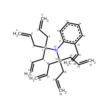 C=CC[Si](CC=C)(CC=C)N(c1ccccc1C=C)[Si](CC=C)(CC=C)CC=C